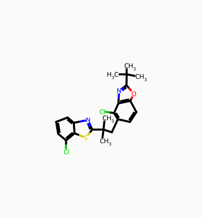 CC(C)(C)c1nc2c(Cl)c(CC(C)(C)c3nc4cccc(Cl)c4s3)ccc2o1